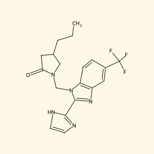 CCCC1CC(=O)N(Cn2c(-c3ncc[nH]3)nc3cc(C(F)(F)F)ccc32)C1